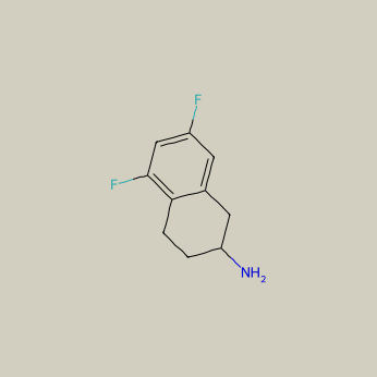 NC1CCc2c(F)cc(F)cc2C1